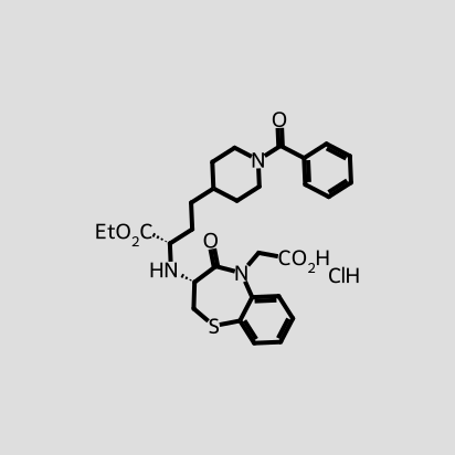 CCOC(=O)[C@H](CCC1CCN(C(=O)c2ccccc2)CC1)N[C@H]1CSc2ccccc2N(CC(=O)O)C1=O.Cl